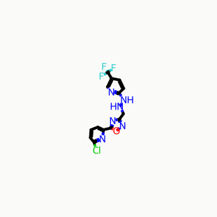 FC(F)(F)c1ccc(NNCc2noc(-c3cccc(Cl)n3)n2)nc1